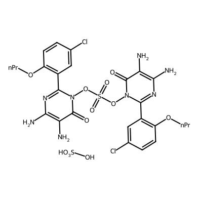 CCCOc1ccc(Cl)cc1-c1nc(N)c(N)c(=O)n1OS(=O)(=O)On1c(-c2cc(Cl)ccc2OCCC)nc(N)c(N)c1=O.O=S(=O)(O)O